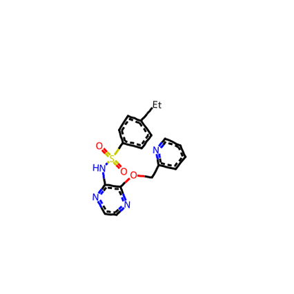 CCc1ccc(S(=O)(=O)Nc2nccnc2OCc2ccccn2)cc1